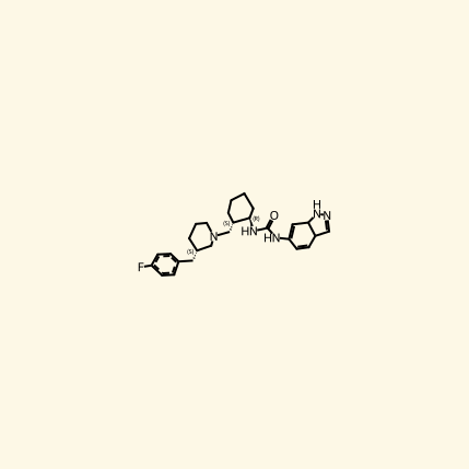 O=C(NC1=CC2NN=CC2C=C1)N[C@@H]1CCCC[C@H]1CN1CCC[C@@H](Cc2ccc(F)cc2)C1